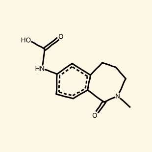 CN1CCCc2cc(NC(=O)O)ccc2C1=O